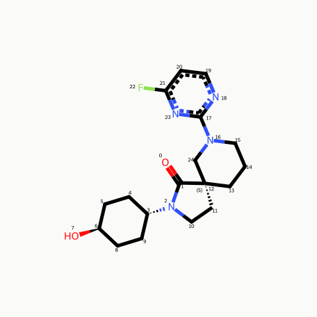 O=C1N([C@H]2CC[C@H](O)CC2)CC[C@]12CCCN(c1nccc(F)n1)C2